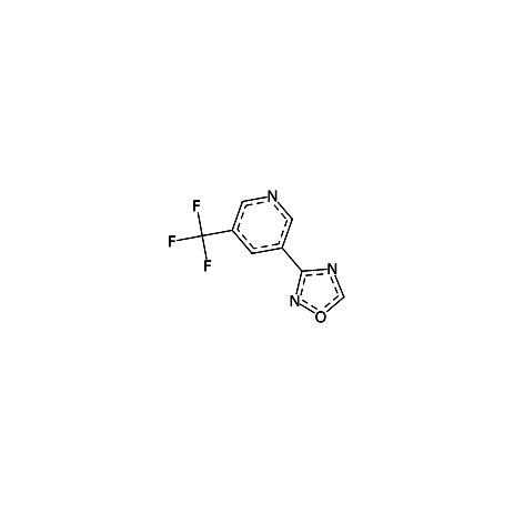 FC(F)(F)c1cncc(-c2ncon2)c1